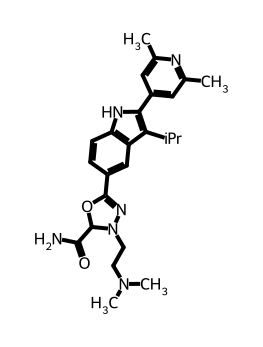 Cc1cc(-c2[nH]c3ccc(C4=NN(CCN(C)C)C(C(N)=O)O4)cc3c2C(C)C)cc(C)n1